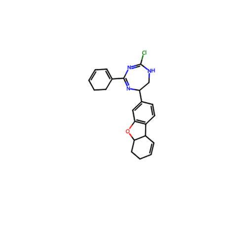 ClC1=NC(C2=CC=CCC2)=NC(c2ccc3c(c2)OC2CCC=CC32)CN1